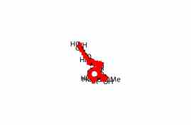 CC[C@H]1OC(=O)[C@H](C)[C@@H](O[C@H]2C[C@@](C)(OC)[C@@H](O)[C@H](C)O2)[C@H](C)[C@H]2O[C@@H]3O[C@H](C)C[C@H](N(C)Cc4ccc(NC(=O)CCCCCCC(=O)NO)cc4)[C@H]3O[C@]2(C)C[C@@H](C)CN(C)[C@H](C)[C@@H](O)[C@]1(C)O